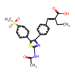 CC/C(=C\c1ccc(-c2nc(NC(C)=O)sc2-c2ccc(S(C)(=O)=O)cc2)cc1)C(=O)O